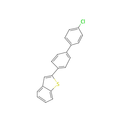 Clc1ccc(-c2ccc(-c3cc4ccccc4s3)cc2)cc1